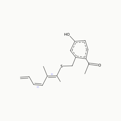 C=C/C=C\C(C)=C(/C)SCc1cc(O)ccc1C(C)=O